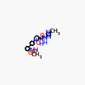 Cc1cnc(NC(=O)N[C@@H]2CCCN(c3ccc(-c4ccccc4NS(C)(=O)=O)cc3)C2=O)cn1